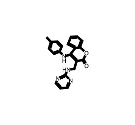 Cc1ccc(Nc2c(CNc3ncccn3)c(=O)oc3ccccc23)cc1